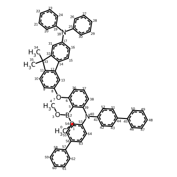 COB(OC)c1c(Oc2ccc3c(c2)-c2ccc(N(c4ccccc4)c4ccccc4)cc2C3(C)C)cccc1N(c1ccc(-c2ccccc2)cc1)c1ccc(-c2ccccc2)cc1